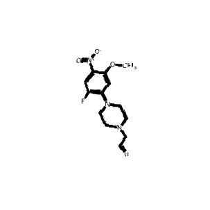 COc1cc(N2CCN(CC=O)CC2)c(F)cc1[N+](=O)[O-]